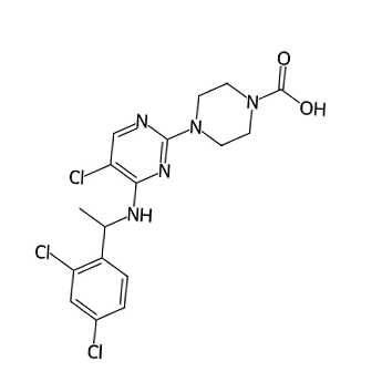 CC(Nc1nc(N2CCN(C(=O)O)CC2)ncc1Cl)c1ccc(Cl)cc1Cl